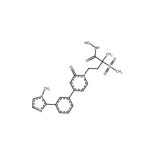 Cn1ccnc1-c1cccc(-c2ccn(CCC(C)(C(=O)NO)S(C)(=O)=O)c(=O)c2)c1